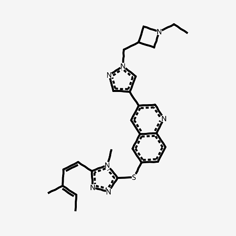 CC=C(C)/C=C\c1nnc(Sc2ccc3ncc(-c4cnn(CC5CN(CC)C5)c4)cc3c2)n1C